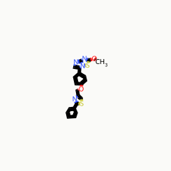 COc1nc2ncc(-c3ccc(OCc4csc(-c5ccccc5)n4)cc3)n2s1